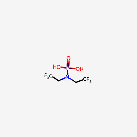 O=P(O)(O)N(CC(F)(F)F)CC(F)(F)F